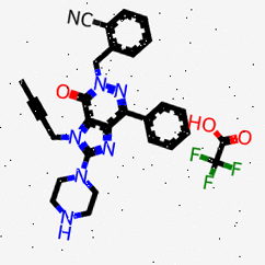 CC#CCn1c(N2CCNCC2)nc2c(-c3ccccc3)nn(Cc3ccccc3C#N)c(=O)c21.O=C(O)C(F)(F)F